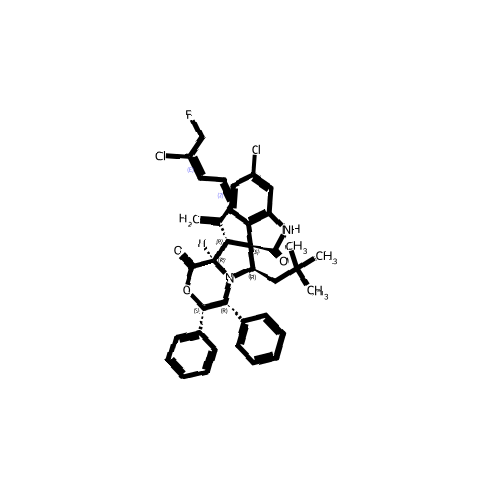 C=C(/C=C\C=C(\Cl)CF)[C@H]1[C@@H]2C(=O)O[C@@H](c3ccccc3)[C@@H](c3ccccc3)N2[C@H](CC(C)(C)C)[C@]12C(=O)Nc1cc(Cl)ccc12